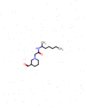 CCCCCC(C)NC(=O)CN1CCCC(C=O)C1